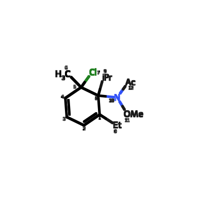 CCC1=CC=CC(C)(Cl)C1(C(C)C)N(OC)C(C)=O